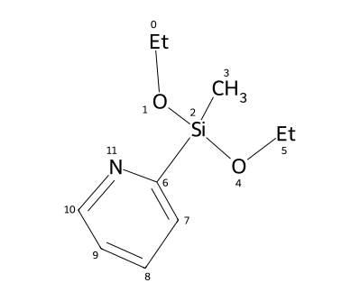 CCO[Si](C)(OCC)c1ccccn1